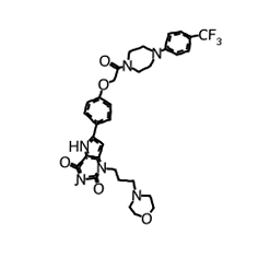 Cn1c(=O)c2[nH]c(-c3ccc(OCC(=O)N4CCN(c5ccc(C(F)(F)F)cc5)CC4)cc3)cc2n(CCCN2CCOCC2)c1=O